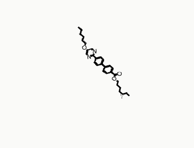 CCCCCCOc1cnc(-c2ccc(-c3ccc(C(=O)OCCCC[C@@H](C)CC)cc3)cc2)nc1